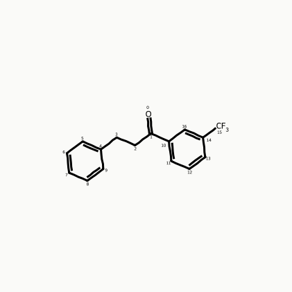 O=C(CCc1ccccc1)c1cccc(C(F)(F)F)c1